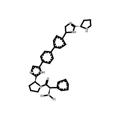 CCN(CC)[C@@H](C(=O)N1CCC[C@H]1c1ncc(-c2ccc(-c3ccc(C4CN=C([C@@H]5CCCN5)N4)cc3)cc2)[nH]1)c1ccccc1